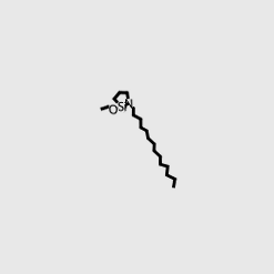 CCCCCCCCCCCCCCN1CCC[Si]1(C)OCC